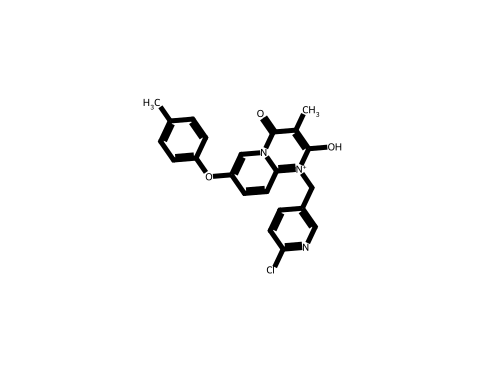 Cc1ccc(Oc2ccc3n(c2)c(=O)c(C)c(O)[n+]3Cc2ccc(Cl)nc2)cc1